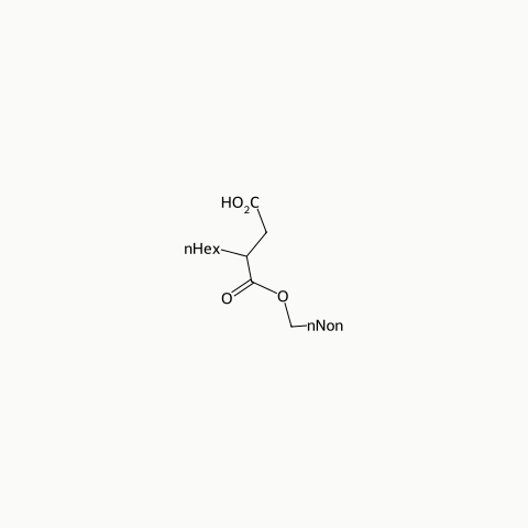 CCCCCCCCCCOC(=O)C(CCCCCC)CC(=O)O